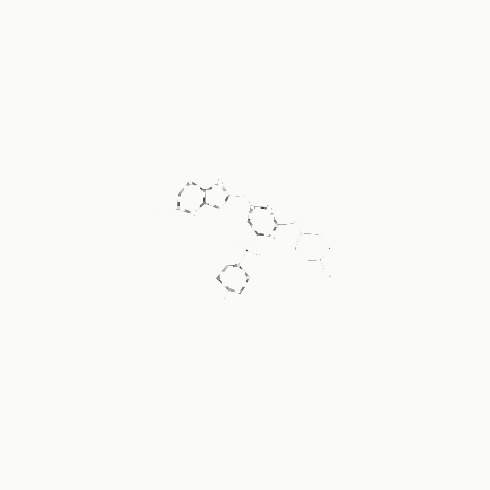 COc1ccc2nc([AsH]c3cc(C(F)(F)c4ccc(F)cc4)nc(NC4CCC(O)CC4)n3)sc2n1